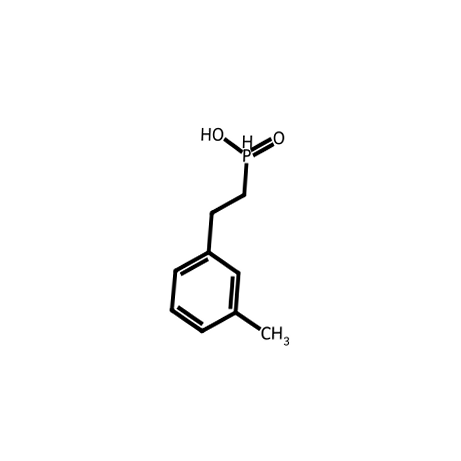 Cc1cccc(CC[PH](=O)O)c1